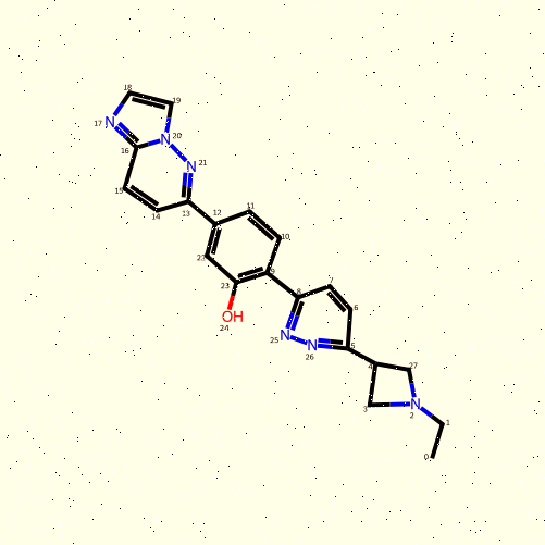 CCN1CC(c2ccc(-c3ccc(-c4ccc5nccn5n4)cc3O)nn2)C1